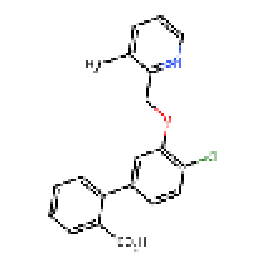 Cc1cccnc1COc1cc(-c2ccccc2C(=O)O)ccc1Cl